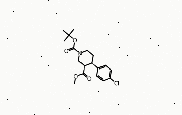 COC(=O)[C@H]1CN(C(=O)OC(C)(C)C)CC[C@H]1c1ccc(Cl)cc1